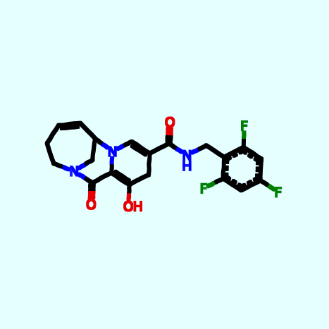 O=C(NCc1c(F)cc(F)cc1F)C1=CN2C(=C(O)C1)C(=O)N1CCC=CC2C1